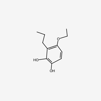 CCCc1c(OCC)ccc(O)c1O